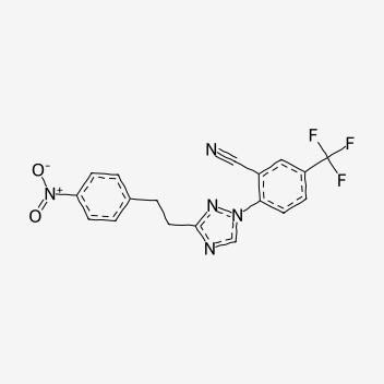 N#Cc1cc(C(F)(F)F)ccc1-n1cnc(CCc2ccc([N+](=O)[O-])cc2)n1